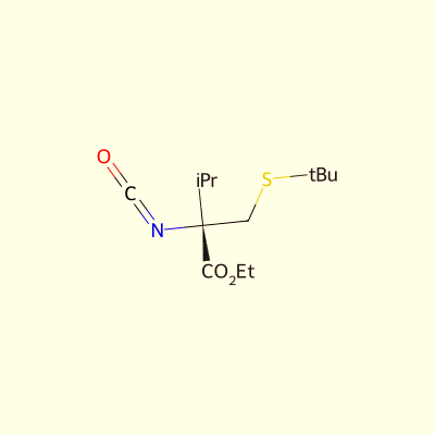 CCOC(=O)[C@@](CSC(C)(C)C)(N=C=O)C(C)C